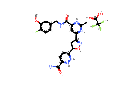 COc1cc(CNC(=O)c2cc(C3=NOC(c4ccc(C(N)=O)nn4)C3)nc(C)n2)ccc1F.O=C(O)C(F)(F)F